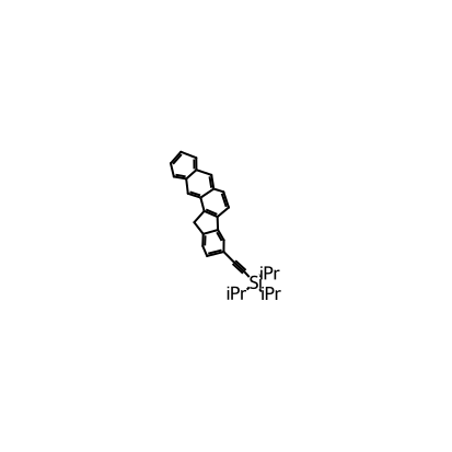 CC(C)[Si](C#Cc1ccc2c(c1)-c1ccc3cc4ccccc4cc3c1C2)(C(C)C)C(C)C